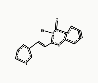 CCn1c(/C=C/c2cccnc2)nc2cc#ccc2c1=O